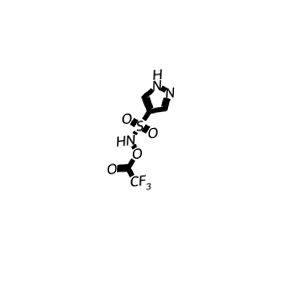 O=C(ONS(=O)(=O)c1cn[nH]c1)C(F)(F)F